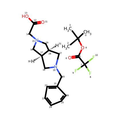 CC(C)(C)OC(=O)C(F)(F)F.O=C(O)CN1C[C@@H]2CN(Cc3ccccc3)C[C@@H]2C1